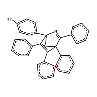 CC(C)c1ccc(C23N=C(c4ccccc4)C(c4ccccc4)(O2)C(c2ccccc2)=C3c2ccccc2)cc1